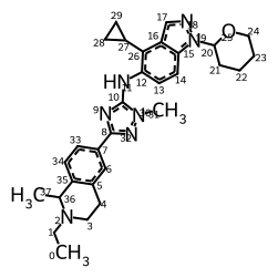 CCN1CCc2cc(-c3nc(Nc4ccc5c(cnn5C5CCCCO5)c4C4CC4)n(C)n3)ccc2C1C